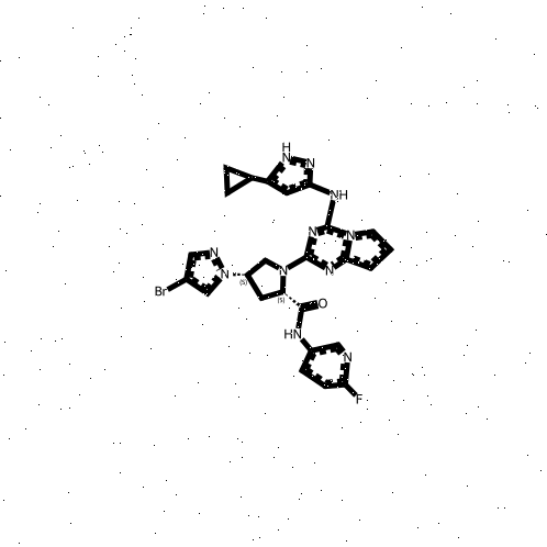 O=C(Nc1ccc(F)nc1)[C@@H]1C[C@H](n2cc(Br)cn2)CN1c1nc(Nc2cc(C3CC3)[nH]n2)n2cccc2n1